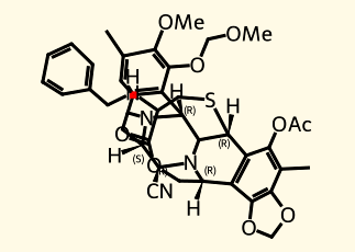 COCOc1c(OC)c(C)cc2c1[C@@H]1C3[C@@H]4SCC(NCc5ccccc5)C(=O)OC[C@@H](c5c6c(c(C)c(OC(C)=O)c54)OCO6)N3[C@@H](C#N)[C@H](C2)N1C